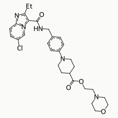 CCc1nc2ccc(Cl)cn2c1C(=O)NCc1ccc(N2CCC(C(=O)OCCN3CCOCC3)CC2)cc1